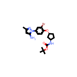 Cc1cc(N)n(-c2ccc(O[C@@H]3CC[C@@H](NC(=O)OC(C)(C)C)C3)c(Br)c2)n1